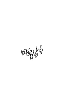 Cn1nnnc1-c1ccc(NC(=O)c2cnn3ccc(N4CCCC4c4cc(F)ccc4F)cc23)cn1